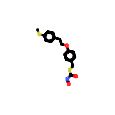 CSc1ccc(CCOc2ccc(CSC(=O)N=O)cc2)cc1